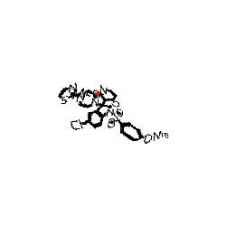 COc1ccc(S(=O)(=O)N2C(=O)C(c3cccnc3OC)(N3CCN(c4nccs4)CC3)c3cc(Cl)ccc32)cc1